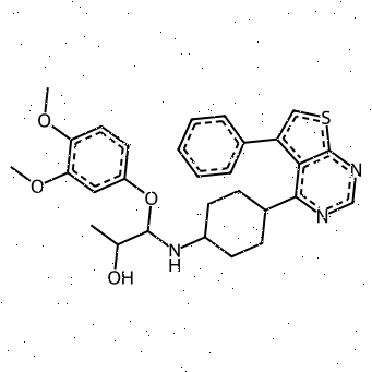 COc1ccc(OC(NC2CCC(c3ncnc4scc(-c5ccccc5)c34)CC2)C(C)O)cc1OC